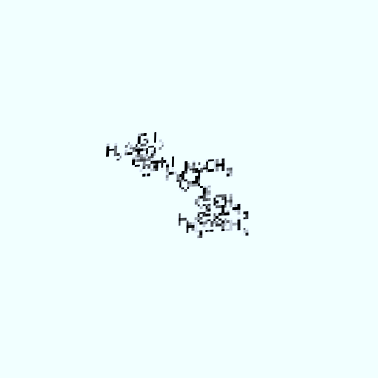 Cc1nc(CNC(=O)OC(C)(C)C)oc1CO[Si](C)(C)C(C)(C)C